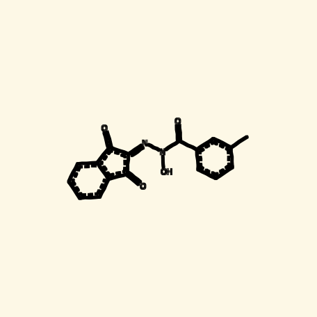 Cc1cccc(C(=O)N(O)N=c2c(=O)c3ccccc3c2=O)c1